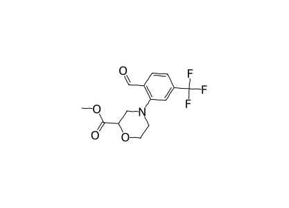 COC(=O)C1CN(c2cc(C(F)(F)F)ccc2C=O)CCO1